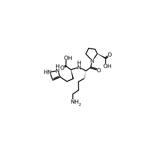 NCCCC[C@H](N[C@@H](CCc1c[nH][nH]1)C(=O)O)C(=O)N1CCC[C@H]1C(=O)O